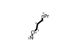 CCCCCCO[N]